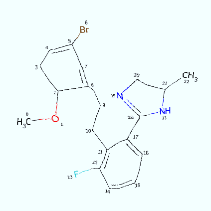 COC1CC=C(Br)C=C1CCc1c(F)cccc1C1=NCC(C)N1